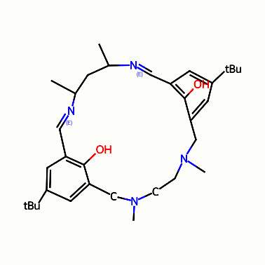 CC1CC(C)/N=C/c2cc(C(C)(C)C)cc(c2O)CN(C)CCN(C)Cc2cc(C(C)(C)C)cc(c2O)/C=N/1